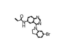 C=CC(=O)Nc1ccc2ncnc(N3CCc4ccc(Br)cc43)c2c1